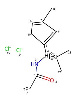 CCCC(=O)[NH][Hf+2]([C]1=CC(C)=CC1)[SiH](C)C.[Cl-].[Cl-]